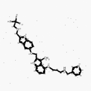 Cc1c(COc2ccc3oc(COCC(F)(F)F)cc3c2)oc2cccc(OCCCNCc3cccnc3)c12